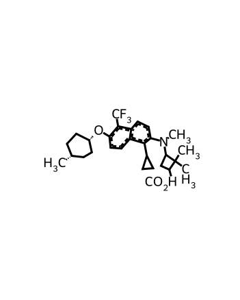 CN(c1ccc2c(C(F)(F)F)c(O[C@H]3CC[C@@H](C)CC3)ccc2c1C1CC1)C1CC(C(=O)O)C1(C)C